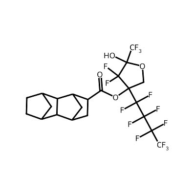 O=C(OC1(C(F)(F)C(F)(F)C(F)(F)C(F)(F)F)COC(O)(C(F)(F)F)C1(F)F)C1CC2CC1C1C3CCC(C3)C21